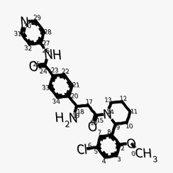 COc1ccc(Cl)cc1C1CCCCN1C(=O)CC(N)c1ccc(C(=O)Nc2ccncc2)cc1